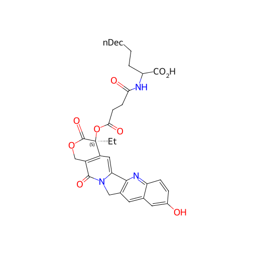 CCCCCCCCCCCCC(NC(=O)CCC(=O)O[C@]1(CC)C(=O)OCc2c1cc1n(c2=O)Cc2cc3cc(O)ccc3nc2-1)C(=O)O